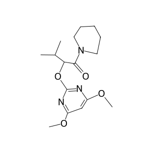 COc1cc(OC)nc(OC(C(=O)N2CCCCC2)C(C)C)n1